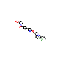 CC(C)(CN1CCC(COc2ccc(-c3ccc(C(=O)N4CCC[C@@H](O)C4)cc3)cn2)CC1)C(F)(F)F